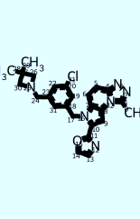 Cc1nnc2ccc3c(cc(-c4ncco4)n3Cc3cc(Cl)cc(CN4CC(C)(C)C4)c3)n12